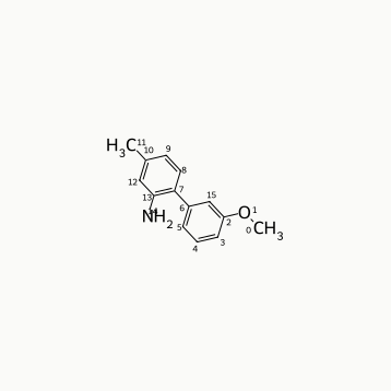 COc1cccc(-c2ccc(C)cc2N)c1